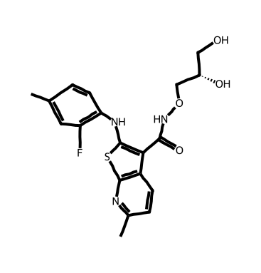 Cc1ccc(Nc2sc3nc(C)ccc3c2C(=O)NOC[C@@H](O)CO)c(F)c1